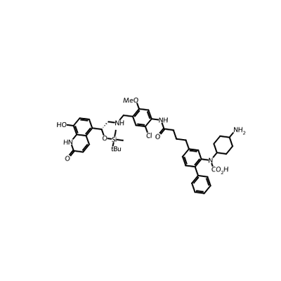 COc1cc(NC(=O)CCCc2ccc(-c3ccccc3)c(N(C(=O)O)C3CCC(N)CC3)c2)c(Cl)cc1CNC[C@H](O[Si](C)(C)C(C)(C)C)c1ccc(O)c2[nH]c(=O)ccc12